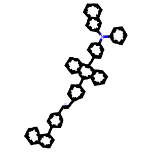 C(=C\c1ccc(-c2c3ccccc3c(-c3ccc(N(c4ccccc4)c4ccc5ccccc5c4)cc3)c3ccccc23)cc1)/c1ccc(-c2cccc3ccccc23)cc1